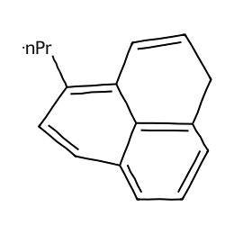 CC[CH]c1ccc2cccc3c2c1C=CC3